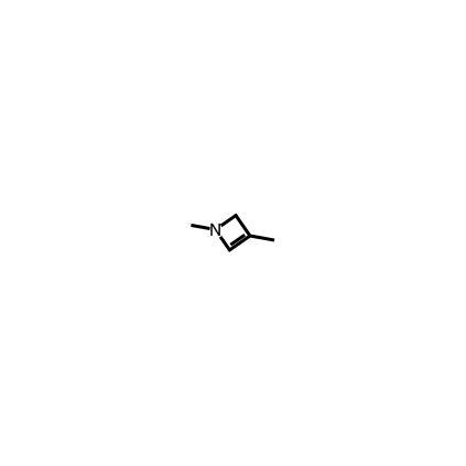 CC1=CN(C)C1